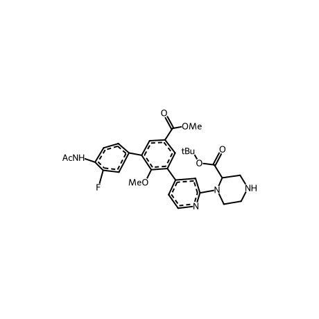 COC(=O)c1cc(-c2ccnc(N3CCNCC3C(=O)OC(C)(C)C)c2)c(OC)c(-c2ccc(NC(C)=O)c(F)c2)c1